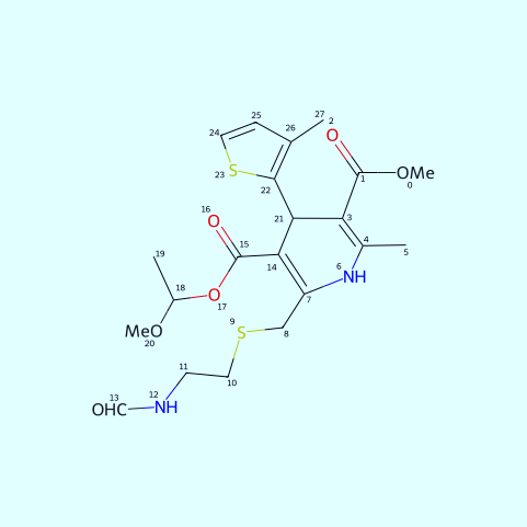 COC(=O)C1=C(C)NC(CSCCNC=O)=C(C(=O)OC(C)OC)C1c1sccc1C